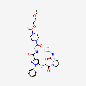 CCOCCOC(=O)N1CCN(C(=O)CNC(=O)c2cc(OCC(=O)N3CCC[C@H]3C(=O)NC3CCC3)n(-c3ccccc3)n2)CC1